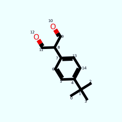 CC(C)(C)c1ccc(C([C]=O)C=O)cc1